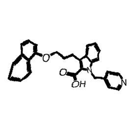 O=C(O)c1c(CCCOc2cccc3ccccc23)c2ccccc2n1Cc1ccncc1